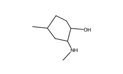 CNC1CC(C)CCC1O